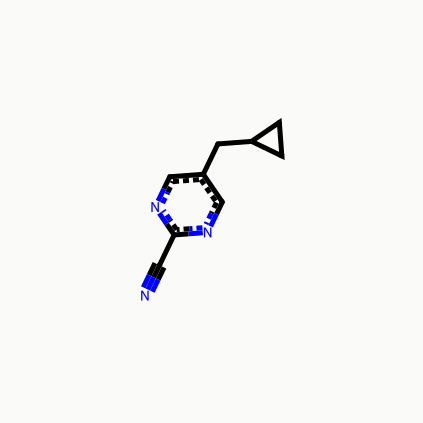 N#Cc1ncc(CC2CC2)cn1